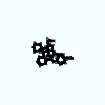 C=C(c1ccccc1OCc1ccc(C(C)(C)C)cc1)C12CCC(N)C1CC(CCCCCC)=C2c1ccccc1